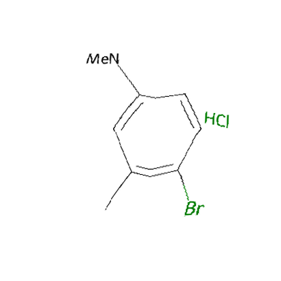 CNc1ccc(Br)c(C)c1.Cl